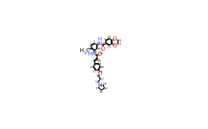 Cc1ccc(NC(=O)c2ccc3c(c2)OCCO3)cc1NC(=O)c1cc2ccc(OCCCN3CCCC3)cc2s1